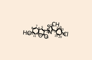 Cc1sc(-c2cc3ccc(O)cc3oc2=O)nc1-c1ccc(Cl)cc1